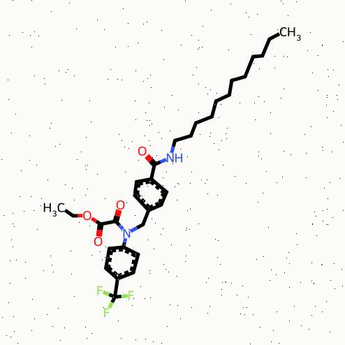 CCCCCCCCCCCCNC(=O)c1ccc(CN(C(=O)C(=O)OCC)c2ccc(C(F)(F)F)cc2)cc1